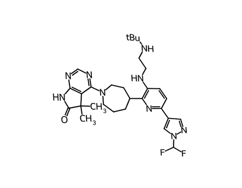 CC(C)(C)NCCNc1ccc(-c2cnn(C(F)F)c2)nc1C1CCCN(c2ncnc3c2C(C)(C)C(=O)N3)CC1